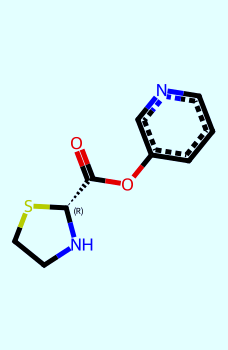 O=C(Oc1cccnc1)[C@@H]1NCCS1